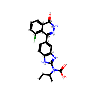 CCC(C)N(C(=O)O)c1nc2cc(-c3n[nH]c(=O)c4cccc(F)c34)ccc2[nH]1